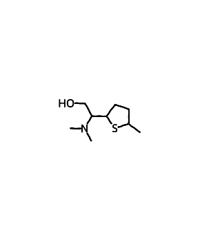 CC1CCC(C(CO)N(C)C)S1